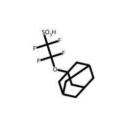 O=S(=O)(O)C(F)(F)C(F)(F)OC12CC3CC(CC(C3)C1)C2